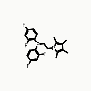 Cc1c(C)c(C)p(CCP(c2ccc(F)cc2F)c2ccc(F)cc2F)c1C